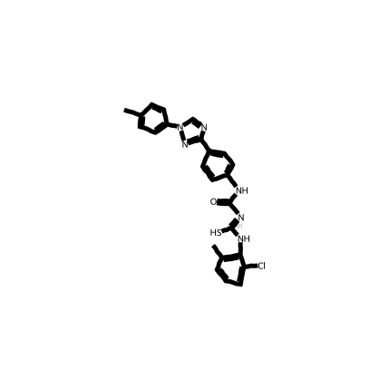 Cc1ccc(-n2cnc(-c3ccc(NC(=O)/N=C(\S)Nc4c(C)cccc4Cl)cc3)n2)cc1